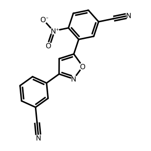 N#Cc1cccc(-c2cc(-c3cc(C#N)ccc3[N+](=O)[O-])on2)c1